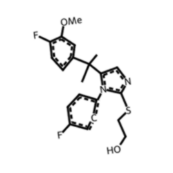 COc1cc(C(C)(C)c2cnc(SCCO)n2-c2ccc(F)cc2)ccc1F